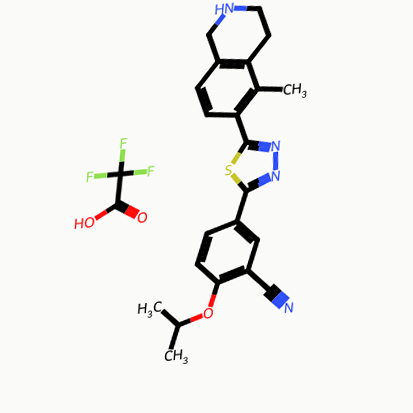 Cc1c(-c2nnc(-c3ccc(OC(C)C)c(C#N)c3)s2)ccc2c1CCNC2.O=C(O)C(F)(F)F